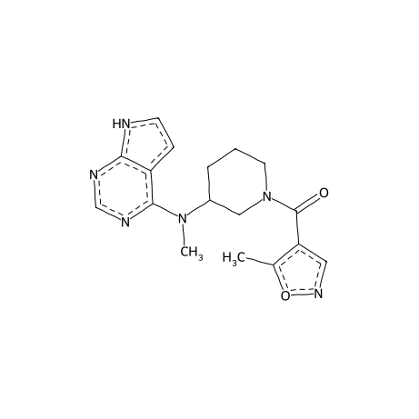 Cc1oncc1C(=O)N1CCCC(N(C)c2ncnc3[nH]ccc23)C1